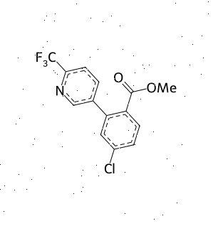 COC(=O)c1ccc(Cl)cc1-c1ccc(C(F)(F)F)nc1